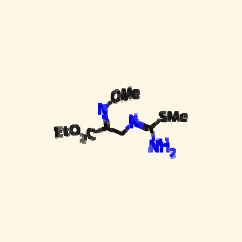 CCOC(=O)C(CN=C(N)SC)=NOC